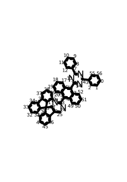 c1ccc(-c2nc(-c3ccccc3)nc(-c3c4ccccc4c(-c4ncc5c(n4)C4(c6ccccc6-c6ccccc64)c4ccccc4-5)c4ccccc34)n2)cc1